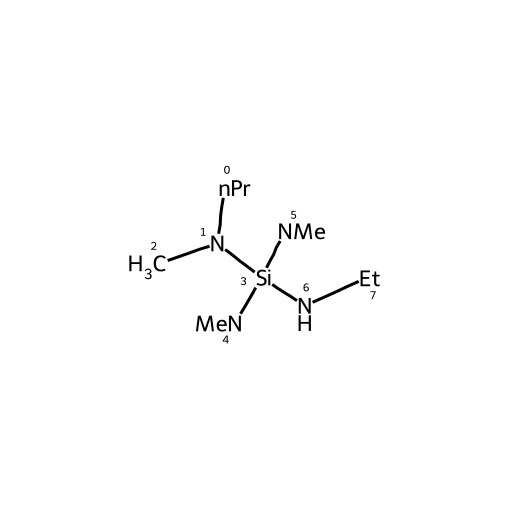 CCCN(C)[Si](NC)(NC)NCC